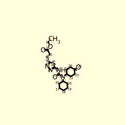 CCOC(=O)CSc1nnc(NC(=O)N(C2CCCCC2)C2CCC(=O)CC2)s1